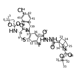 CC(C)(C)OC(=O)N[C@H]1CSc2cc(F)c(C(=O)NNC(=O)C34CC(CN(C(=O)OC(C)(C)C)C3)C4)cc2N(Cc2ccc(Cl)cc2)C1=O